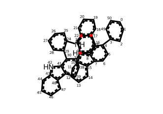 c1ccc(-c2ccc3c([nH]c4ccccc43)c2-c2ccccc2Nc2ccccc2-c2c(-c3ccccc3)ccc3c2[nH]c2ccccc23)cc1